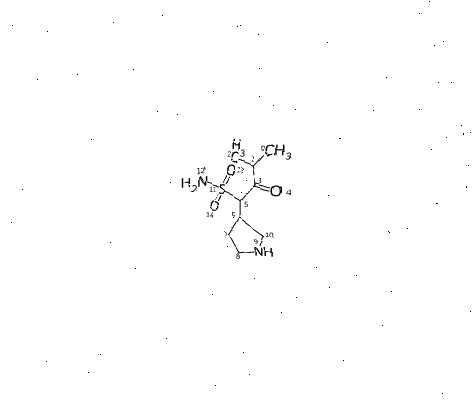 CC(C)C(=O)C(C1CCNC1)S(N)(=O)=O